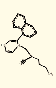 CCCCC(C#N)CN1C=CNC=C1c1cccc2ccccc12